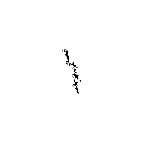 CCCCOC(=O)[C@](C)(CC)[Co][CH2]C(C)(C)C(=O)OCCOC(=O)C(C)[O][Co][C](=O)CCCCCO